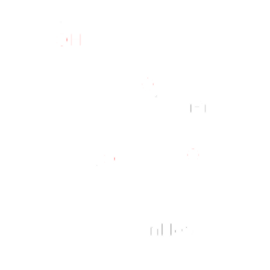 CCCCCCCC(OC(C)C)OC(O)CO.[Ti]